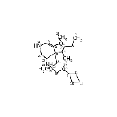 CCCC(C)C1(C2CN(C3CCC3)CN2C)C(OC)=CNCC1N